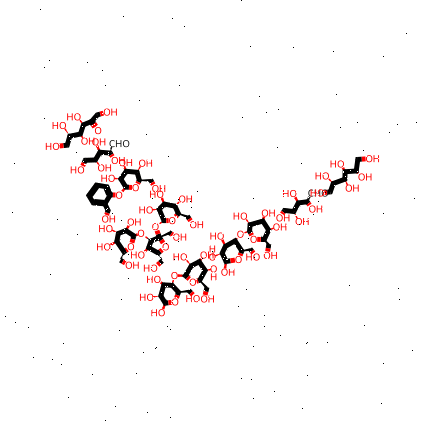 O=C(CO)[C@@H](O)[C@H](O)[C@@H](O)CO.O=C[C@@H](O)[C@H](O)[C@H](O)CO.O=C[C@H](O)[C@H](O)[C@H](O)CO.OC[C@@H](O)[C@H](O)[C@H](O)[C@@H](O)CO.OC[C@H]1O[C@@H](O[C@H]2[C@H](O)[C@@H](O)[C@H](O)O[C@@H]2CO)[C@H](O)[C@@H](O)[C@@H]1O.OC[C@H]1O[C@@](CO)(O[C@H]2O[C@H](CO)[C@@H](O)[C@H](O)[C@H]2O)[C@@H](O[C@H]2O[C@H](CO)[C@@H](O)[C@H](O)[C@H]2O)[C@@H]1O.OC[C@H]1O[C@H](O[C@H]2[C@H](O)[C@@H](O)[C@H](O)O[C@@H]2CO)[C@H](O)[C@@H](O)[C@@H]1O.OCc1ccccc1O[C@@H]1O[C@H](CO)[C@@H](O)[C@H](O)[C@H]1O